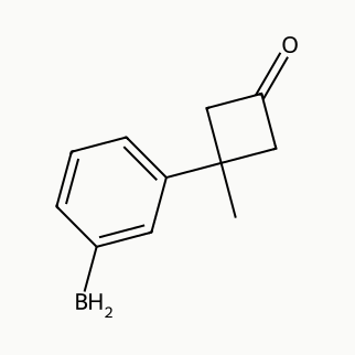 Bc1cccc(C2(C)CC(=O)C2)c1